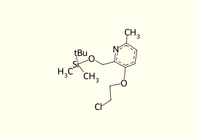 Cc1ccc(OCCCl)c(CO[Si](C)(C)C(C)(C)C)n1